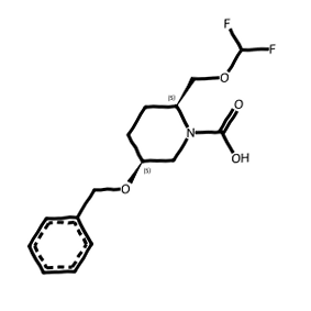 O=C(O)N1C[C@@H](OCc2ccccc2)CC[C@H]1COC(F)F